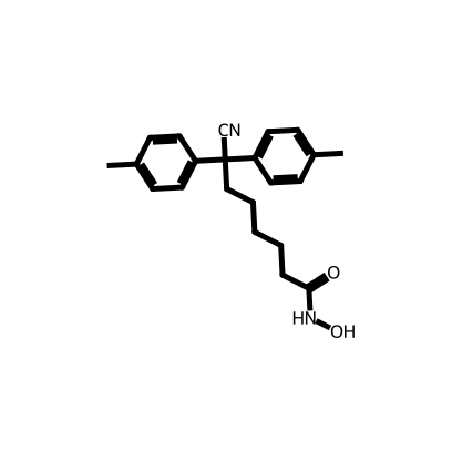 Cc1ccc(C(C#N)(CCCCCC(=O)NO)c2ccc(C)cc2)cc1